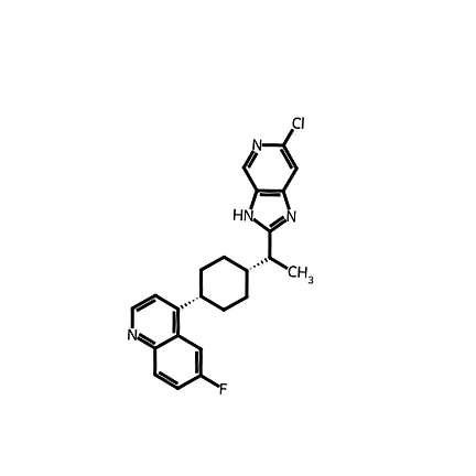 CC(c1nc2cc(Cl)ncc2[nH]1)[C@H]1CC[C@@H](c2ccnc3ccc(F)cc32)CC1